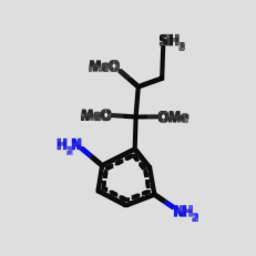 COC(C[SiH3])C(OC)(OC)c1cc(N)ccc1N